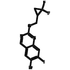 FC1(F)CC1COc1ncc2cc(Br)c(I)cc2n1